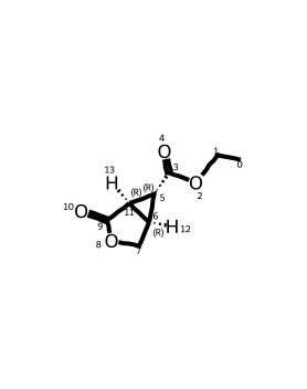 CCOC(=O)[C@@H]1[C@H]2COC(=O)[C@H]21